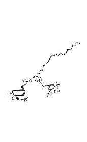 CCCCCCCCCCCCCCCCCCOCC(COC(=O)CCc1cc(C(C)(C)C)c(O)c(C(C)(C)C)c1)OC(=O)CCc1cc(C(C)(C)C)c(O)c(C(C)(C)C)c1